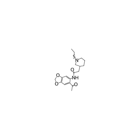 CCSN1CCCC(CC(=O)Nc2cc3c(cc2C(C)=O)OCO3)C1